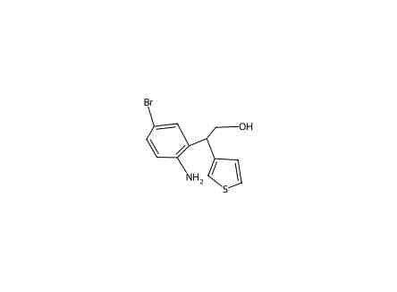 Nc1ccc(Br)cc1C(CO)c1ccsc1